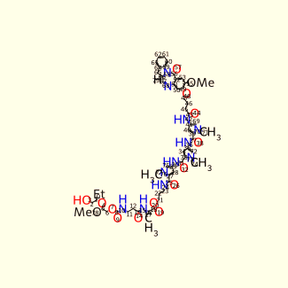 CCC(CO)OC(COC(=O)NCCC(=O)N[C@@H](C)C(=O)OCCCNC(=O)c1cc(NC(=O)c2cc(NC(=O)c3cc(NC(=O)CCCOc4cc5c(cc4OC)C(=O)N4c6ccccc6C[C@@H]4C=N5)cn3C)cn2C)cn1C)OC